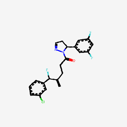 C=C(CCC(=O)N1N=CCC1c1cc(F)cc(F)c1)C(F)c1cccc(Cl)c1